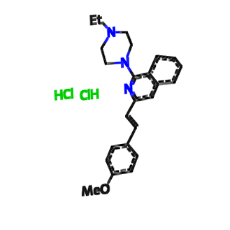 CCN1CCN(c2nc(/C=C/c3ccc(OC)cc3)cc3ccccc23)CC1.Cl.Cl